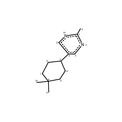 Cc1ncc(C2CCC(C)(C)CC2)cn1